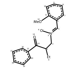 CCC(C[N+]([O-])=Cc1ccccc1OC)C(=O)c1ccccc1